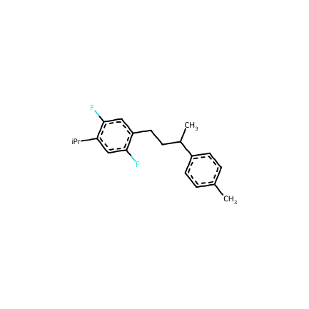 Cc1ccc(C(C)CCc2cc(F)c(C(C)C)cc2F)cc1